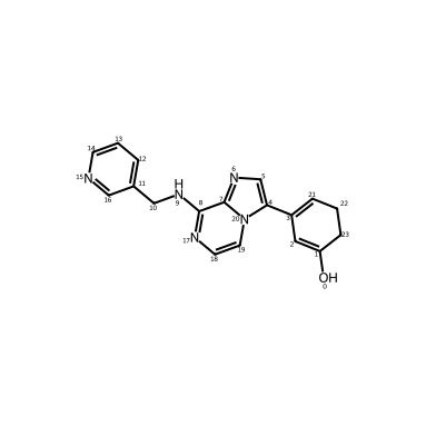 OC1=CC(c2cnc3c(NCc4cccnc4)nccn23)=CCC1